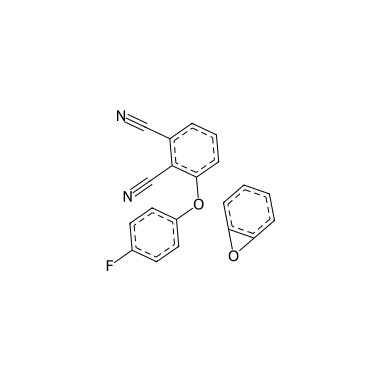 N#Cc1cccc(Oc2ccc(F)cc2)c1C#N.c1ccc2c(c1)O2